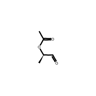 CC(=O)O[C@H](C)C=O